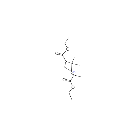 CCOC(=O)/C(C)=C1\CC(C(=O)OCC)C1(C)C